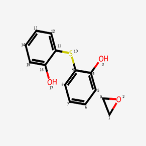 C1CO1.Oc1ccccc1Sc1ccccc1O